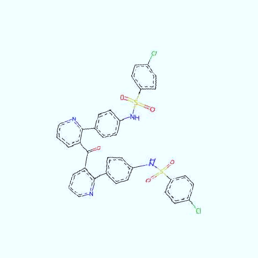 O=C(c1cccnc1-c1ccc(NS(=O)(=O)c2ccc(Cl)cc2)cc1)c1cccnc1-c1ccc(NS(=O)(=O)c2ccc(Cl)cc2)cc1